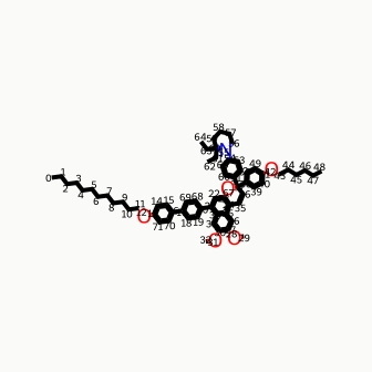 CCCCCCCCCCCCOc1ccc(-c2ccc(-c3cc4c(c5cc(OC)c(OC)cc35)C=CC(c3ccc(OCCCCCC)cc3)(c3ccc(N5CCCCC5(CC)CC)cc3)O4)cc2)cc1